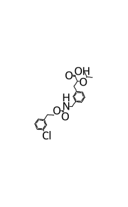 CC(C)OC(Cc1cccc(CNC(=O)OCCc2cccc(Cl)c2)c1)C(=O)O